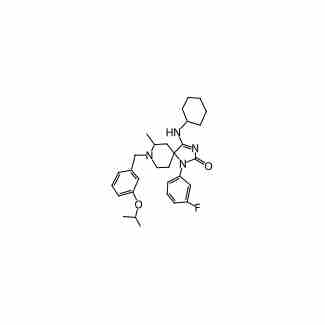 CC(C)Oc1cccc(CN2CCC3(CC2C)C(NC2CCCCC2)=NC(=O)N3c2cccc(F)c2)c1